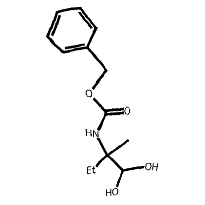 CCC(C)(NC(=O)OCc1ccccc1)C(O)O